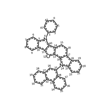 c1ccc(-n2c3ccccc3c3oc4c(ccc5c6ccccc6n(-c6cc7ccccc7c7ccccc67)c54)c32)cc1